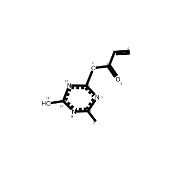 C=CC(=O)Oc1nc(C)nc(O)n1